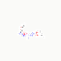 CC(=O)OC1(C)CCN(c2ccc(NC(=O)c3nnc(Nc4ccc(Oc5ccc(F)cc5)cc4)o3)cn2)CC1